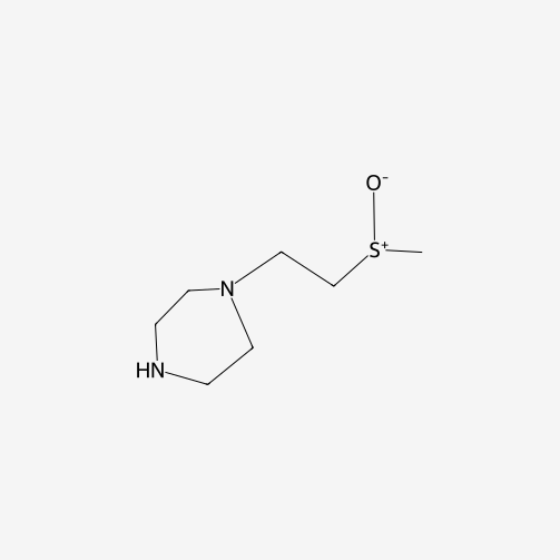 C[S+]([O-])CCN1CCNCC1